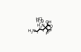 Cl.NCCC[C@](N)(C(=O)O)C(F)F.O